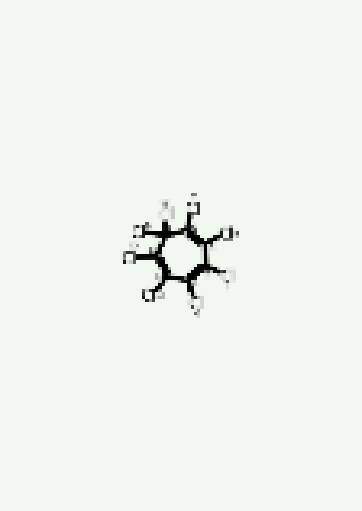 ClC1=C(Cl)C(Cl)=C(Cl)C(Cl)(Cl)C(Cl)=C1Cl